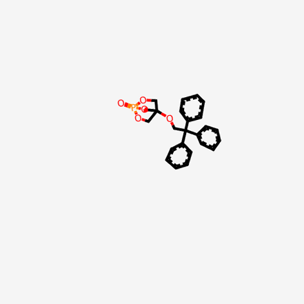 O=P12OCC(OCC(c3ccccc3)(c3ccccc3)c3ccccc3)(CO1)CO2